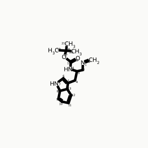 C=NCC(CC1=CNC2C=CC=CC12)NC(=O)OC(C)(C)C